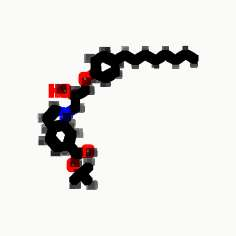 CCCCCCCCc1ccc(OCC(O)Cn2ccc3ccc(C(=O)OC(C)(C)C)cc32)cc1